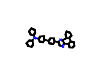 c1ccc(N(c2ccccc2)c2ccc(-c3ccc(-c4cnc5c6ccccc6c6ccccc6c5n4)cc3)cc2)cc1